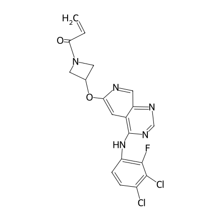 C=CC(=O)N1CC(Oc2cc3c(Nc4ccc(Cl)c(Cl)c4F)ncnc3cn2)C1